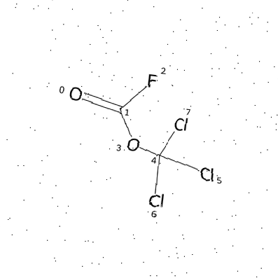 O=C(F)OC(Cl)(Cl)Cl